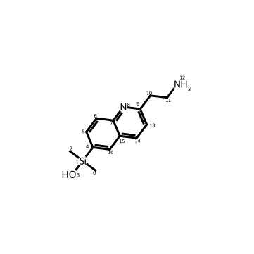 C[Si](C)(O)c1ccc2nc(CCN)ccc2c1